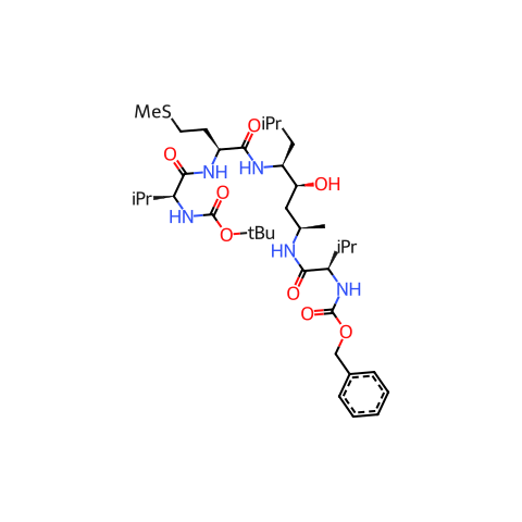 CSCC[C@H](NC(=O)[C@@H](NC(=O)OC(C)(C)C)C(C)C)C(=O)N[C@@H](CC(C)C)[C@@H](O)C[C@@H](C)NC(=O)[C@H](NC(=O)OCc1ccccc1)C(C)C